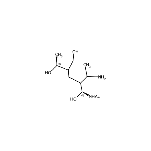 CC(=O)N[C@@H](O)C(CC(CO)[C@H](C)O)C(C)N